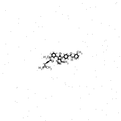 Cc1ccnc(NC(=O)c2ccc(-n3c(=O)n(-c4cccc(N(C)C(=O)C#CCN(C)C)c4)c4ncnc(N)c43)cc2)c1